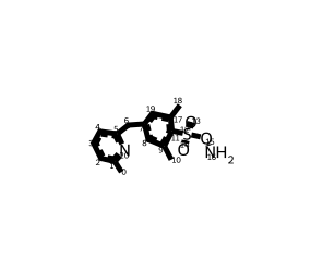 Cc1cccc(Cc2cc(C)c(S(=O)(=O)ON)c(C)c2)n1